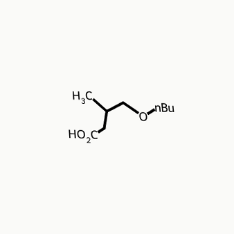 CCCCOCC(C)CC(=O)O